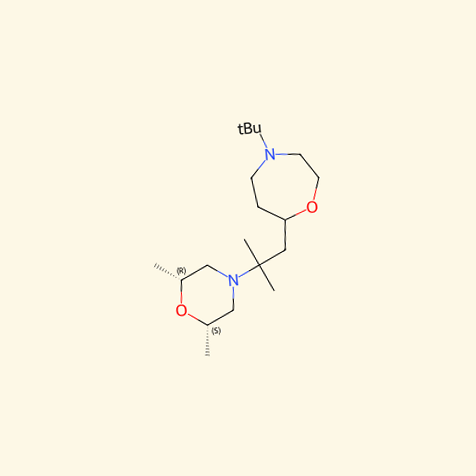 C[C@@H]1CN(C(C)(C)CC2CCN(C(C)(C)C)CCO2)C[C@H](C)O1